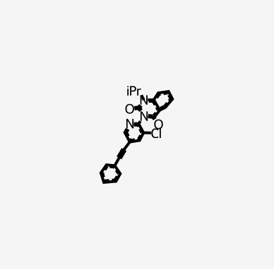 CC(C)n1c(=O)n(-c2ncc(C#Cc3ccccc3)cc2Cl)c(=O)c2ccccc21